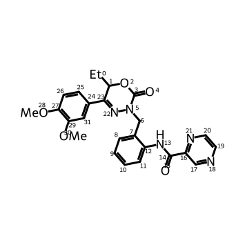 CCC1OC(=O)N(Cc2ccccc2NC(=O)c2cnccn2)N=C1c1ccc(OC)c(OC)c1